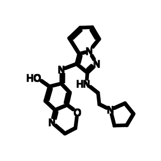 OC1=CC2=NCCOC2=C/C1=N\c1c(NCCN2CCCC2)nn2ccccc12